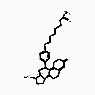 CC(=O)OC1CCC2C3CCC4=CC(=O)CCC4=C3C(c3ccc(CCCCCCCC(N)=O)cc3)C[C@]12C